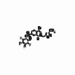 Cc1cc(Cn2cc(Br)c3ccc(S(=O)(=O)Oc4c(F)c(F)c(F)c(F)c4F)cc3c2=O)on1